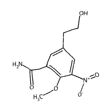 COc1c(C(N)=O)cc(CCO)cc1[N+](=O)[O-]